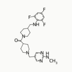 CNc1ncc(CN2CCC(C(=O)N3CCC(CNc4c(F)cc(F)cc4F)CC3)CC2)cn1